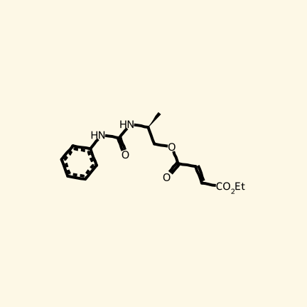 CCOC(=O)/C=C/C(=O)OC[C@H](C)NC(=O)Nc1ccccc1